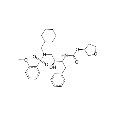 COc1ccccc1S(=O)(=O)N(CC1CCCCC1)C[C@H](O)C(Cc1ccccc1)NC(=O)O[C@H]1CCOC1